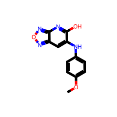 COc1ccc(Nc2cc3nonc3nc2O)cc1